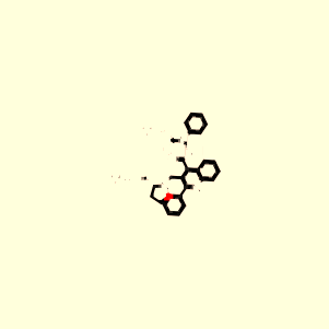 COC[C@H]1CCCN1Cc1c(-c2ccccc2)nc2ccccc2c1C(=O)NN(C(=O)OC)c1ccccc1